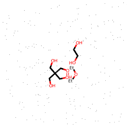 CCOCC.OCC(CO)(CO)CO.OCCO